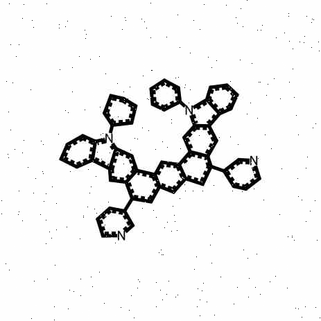 c1ccc(-n2c3ccccc3c3cc4c(-c5cccnc5)cc5cc6cc(-c7cccnc7)c7cc8c9ccccc9n(-c9ccccc9)c8cc7c6cc5c4cc32)cc1